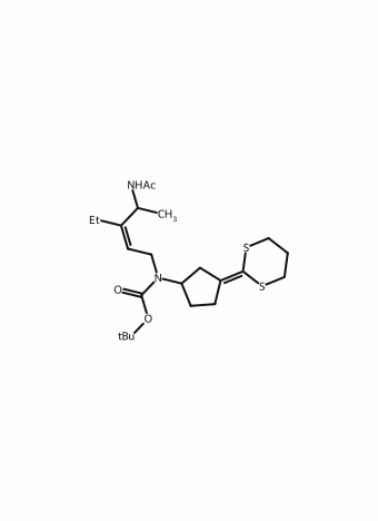 CCC(=CCN(C(=O)OC(C)(C)C)C1CCC(=C2SCCCS2)C1)C(C)NC(C)=O